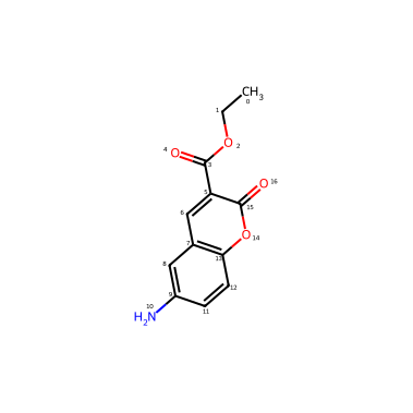 CCOC(=O)c1cc2cc(N)ccc2oc1=O